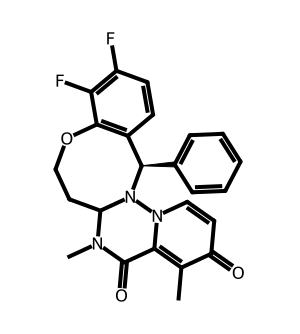 Cc1c2n(ccc1=O)N1C(CCOc3c(ccc(F)c3F)[C@H]1c1ccccc1)N(C)C2=O